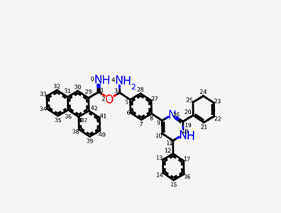 N=C(OC(N)c1ccc(C2=CC(c3ccccc3)NC(C3=CC=CCC3)=N2)cc1)c1cc2ccccc2c2ccccc12